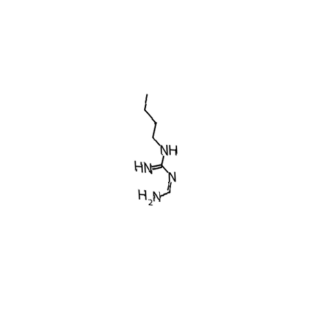 CCCCNC(=N)/N=C\N